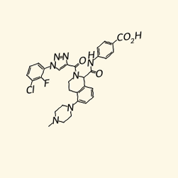 CN1CCN(c2cccc3c2CCN(C(=O)c2cn(-c4cccc(Cl)c4F)nn2)C3C(=O)Nc2ccc(C(=O)O)cc2)CC1